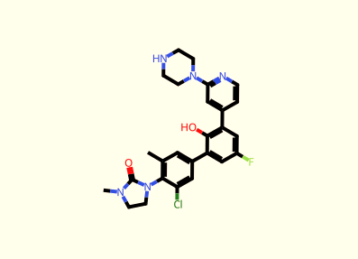 Cc1cc(-c2cc(F)cc(-c3ccnc(N4CCNCC4)c3)c2O)cc(Cl)c1N1CCN(C)C1=O